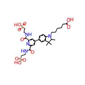 CC1N(CCCCCC(=O)O)c2ccc(-c3cc(C(=O)NCCS(=O)(=O)O)nc(C(=O)NCCS(=O)(=O)O)c3)cc2C1(C)C